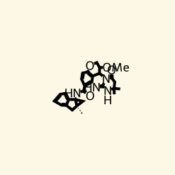 COC1COc2ccc(C(=O)N[C@@]34C[C@@]3(C)Cc3ccccc34)cc2C1N1C(=N)NC(C)(C)CC1=O